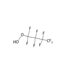 OOC(F)(F)C(F)(F)C(F)(F)C(F)(F)F